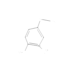 COc1ccc(NC(C)(C)C)cc1OC